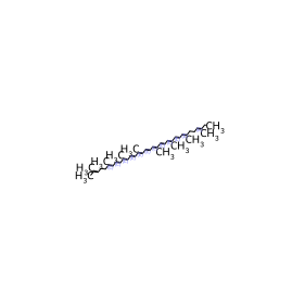 CC/C(C)=C/CC/C(C)=C/C=C/C(C)=C/C=C/C(C)=C/C=C/C=C(C)/C=C/C=C(C)/C=C/C=C(\C)CCC=C(C)C